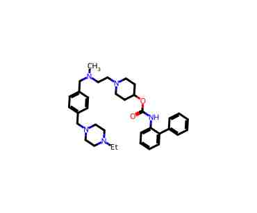 CCN1CCN(Cc2ccc(CN(C)CCN3CCC(OC(=O)Nc4ccccc4-c4ccccc4)CC3)cc2)CC1